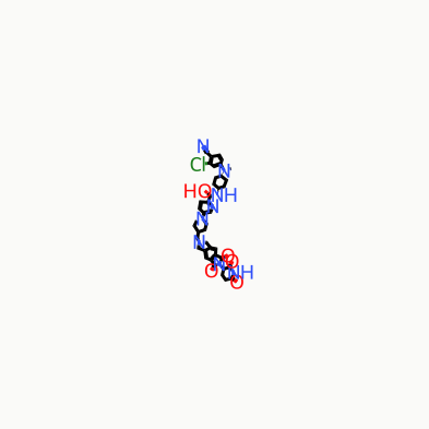 CN(c1ccc(C#N)c(Cl)c1)[C@H]1CC[C@H](NC(O)c2ccc(N3CCC(CN4Cc5cc6c(cc5C4)C(=O)N(C4CCC(=O)NC4=O)C6=O)CC3)cn2)CC1